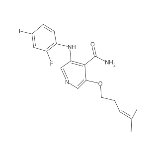 CC(C)=CCCOc1cncc(Nc2ccc(I)cc2F)c1C(N)=O